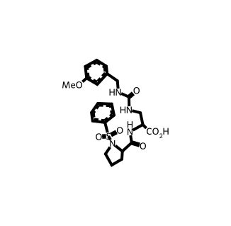 COc1cccc(CNC(=O)NCC(NC(=O)C2CCCN2S(=O)(=O)c2ccccc2)C(=O)O)c1